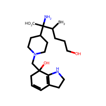 BC(CCCO)C(N)(C(=O)O)C1CCN(CC2(O)CC=CC3=C2NCC3)CC1